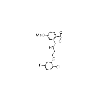 COc1ccc(S(C)(=O)=O)c(CNCCOc2cc(F)ccc2Cl)c1